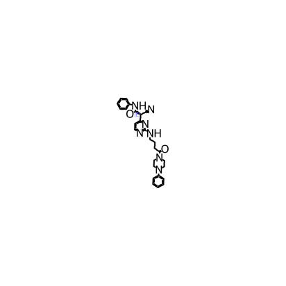 N#C/C(=C1\Nc2ccccc2O1)c1ccnc(NCCCC(=O)N2CCN(c3ccccc3)CC2)n1